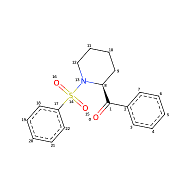 O=C(c1ccccc1)[C@@H]1CCCCN1S(=O)(=O)c1ccccc1